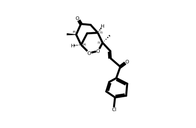 C[C@H]1C(=O)C[C@@H]2C[C@H]1OO[C@]2(C)C=CC(=O)c1ccc(Cl)cc1